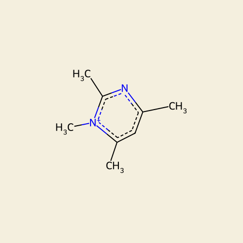 Cc1cc(C)[n+](C)c(C)n1